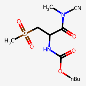 CCCCOC(=O)NC(CS(C)(=O)=O)C(=O)N(C)C#N